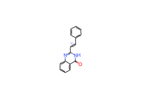 O=c1[nH]c(/C=C/c2ccccc2)nc2ccccc12